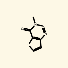 Cn1nnc2ccsc2c1=O